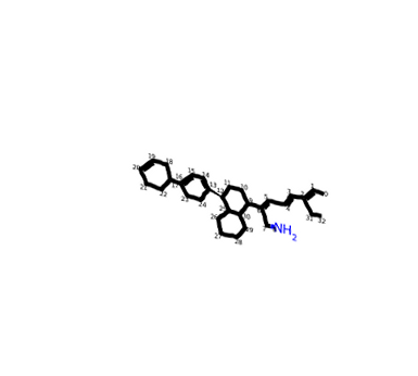 C/C=C(/C=C/C=C(\CN)C1CC[C@H](C2=CC=C(C3CC=CCC3)CC2)C2CCCCC12)CC